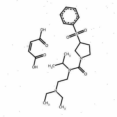 CCN(CC)CCN(C(=O)N1CCC(S(=O)(=O)c2ccccc2)C1)C(C)C.O=C(O)/C=C\C(=O)O